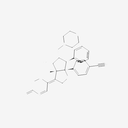 C=C/N=C\C(OC)=C1/CO[C@@]2(c3ccc(C#N)cc3)[C@H](c3ccccc3)[C@@H](CN3CCOCC3)[C@@H](O)[C@@]12O